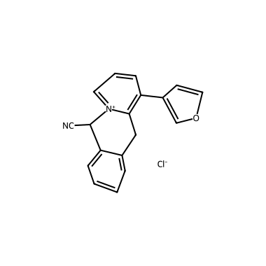 N#CC1c2ccccc2Cc2c(-c3ccoc3)ccc[n+]21.[Cl-]